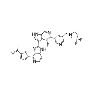 CC(=O)c1ccc(-c2nccc3[nH]c(-c4n[nH]c5cnc(-c6cncc(CN7CCC(F)(F)C7)c6)c(F)c45)nc23)s1